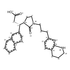 O=C(O)C[C@@H](c1cnc2ccccc2c1)N1CCN(CCCc2ccc3c(n2)NCCC3)C1=O